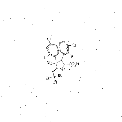 CCC(CC)(CC)C[C@@H]1N[C@@H](C(=O)O)C(c2cccc(Cl)c2F)C1(C#N)c1ccc(Cl)cc1F